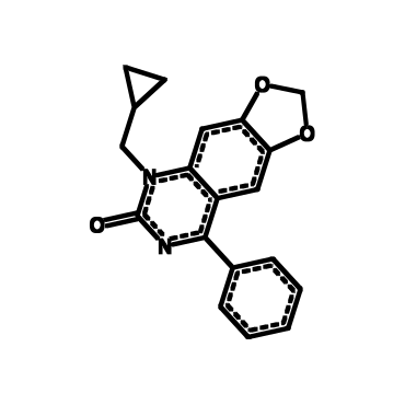 O=c1nc(-c2ccccc2)c2cc3c(cc2n1CC1CC1)OCO3